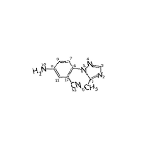 Cc1ncnn1-c1ccc(N)cc1C#N